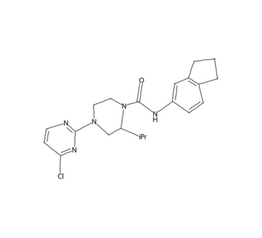 CC(C)C1CN(c2nccc(Cl)n2)CCN1C(=O)Nc1ccc2c(c1)CCC2